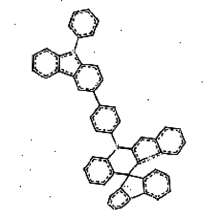 c1ccc(-n2c3ccccc3c3cc(-c4ccc(N5c6ccccc6C6(c7ccccc7-c7ccccc76)c6cc7ccccc7cc65)cc4)ccc32)cc1